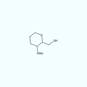 COC1CCCOC1CO